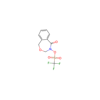 O=C1c2ccccc2COCN1OS(=O)(=O)C(F)(F)F